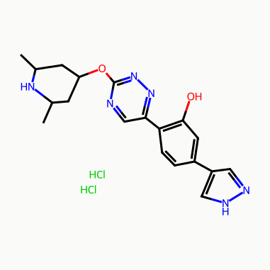 CC1CC(Oc2ncc(-c3ccc(-c4cn[nH]c4)cc3O)nn2)CC(C)N1.Cl.Cl